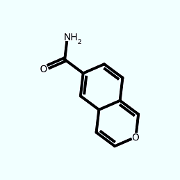 NC(=O)C1=CC2C=COC=C2C=C1